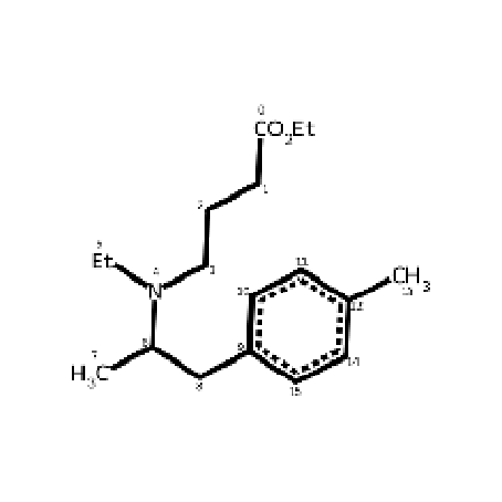 CCOC(=O)CCCN(CC)C(C)Cc1ccc(C)cc1